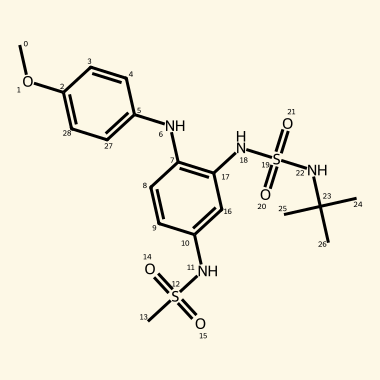 COc1ccc(Nc2ccc(NS(C)(=O)=O)cc2NS(=O)(=O)NC(C)(C)C)cc1